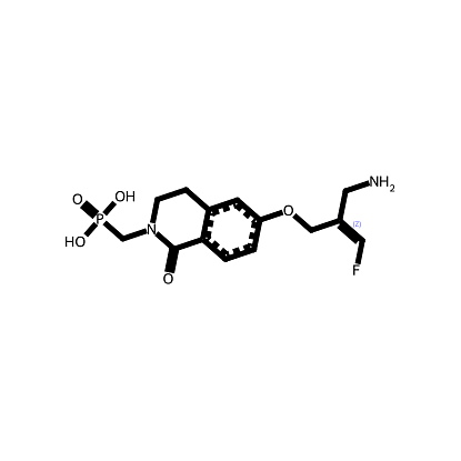 NC/C(=C/F)COc1ccc2c(c1)CCN(CP(=O)(O)O)C2=O